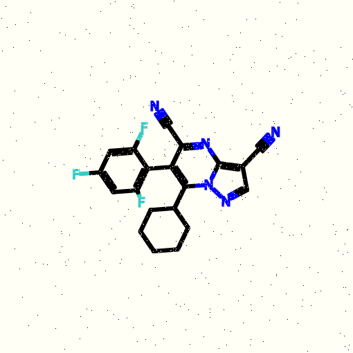 N#Cc1nc2c(C#N)cnn2c(C2CCCCC2)c1-c1c(F)cc(F)cc1F